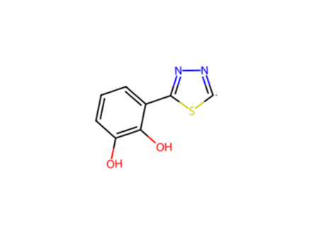 Oc1cccc(-c2nn[c]s2)c1O